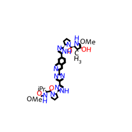 COC(=O)N[C@H](C(=O)N1CCC[C@H]1c1nc(-c2cnc(-c3cc4ccc(-c5cnc([C@@H]6CCCN6C(=O)[C@H]6NC(OC)=C(O)C6C)[nH]5)cc4cn3)nc2)c[nH]1)C(C)C